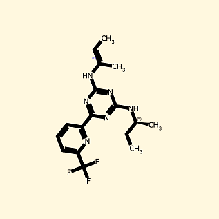 C/C=C(\C)Nc1nc(N[C@@H](C)CC)nc(-c2cccc(C(F)(F)F)n2)n1